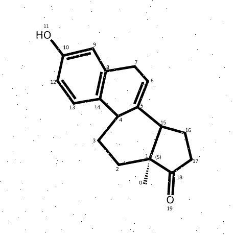 C[C@]12CCC3C(=CCc4cc(O)ccc43)C1CCC2=O